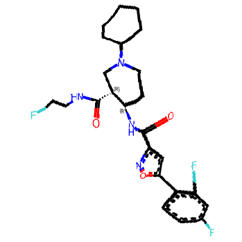 O=C(N[C@@H]1CCN(C2CCCCC2)C[C@H]1C(=O)NCCF)c1cc(-c2ccc(F)cc2F)on1